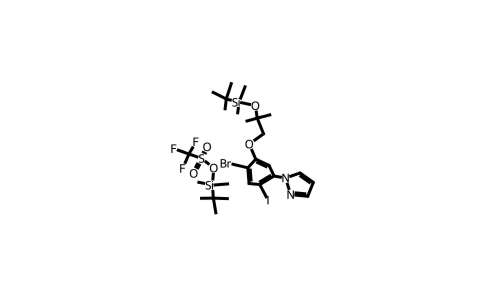 CC(C)(C)[Si](C)(C)OS(=O)(=O)C(F)(F)F.CC(C)(COc1cc(-n2cccn2)c(I)cc1Br)O[Si](C)(C)C(C)(C)C